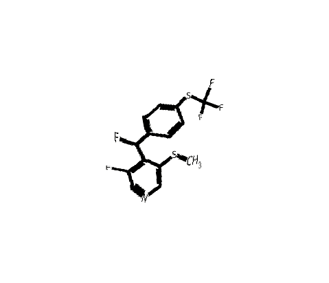 CSc1cncc(F)c1C(F)c1ccc(SC(F)(F)F)cc1